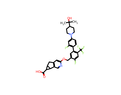 CC(C)(O)C1CCN(c2ccc(-c3cc(COc4cc5c(cn4)C4C(C5)C4C(=O)O)c(F)cc3C(F)(F)F)c(F)c2)CC1